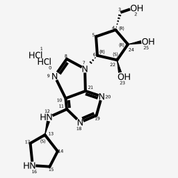 Cl.Cl.OC[C@H]1C[C@@H](n2cnc3c(N[C@H]4CCNC4)ncnc32)[C@H](O)[C@@H]1O